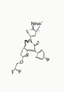 CN/C=C1/C=C(n2nc3ccc(OCC(F)F)nc3c(-c3ccc(Br)cc3)c2=O)C=CC1=N